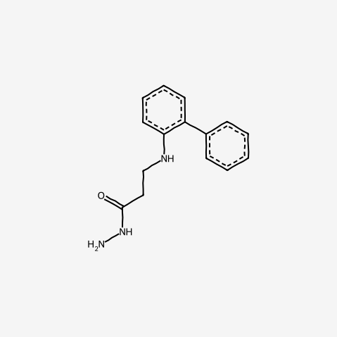 NNC(=O)CCNc1ccccc1-c1ccccc1